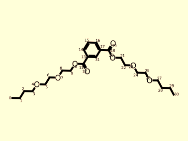 CCCCOCCOCCOC(=O)c1cccc(C(=O)OCCOCCOCCCC)c1